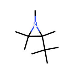 CN1C(C)(C)C1(C)C(C)(C)C